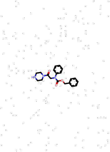 O=C(CN(C(=O)OCc1ccccc1)c1ccccc1)N1CCNCC1